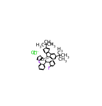 CC(C)(C)c1ccc2c(c1)-c1cc(C(C)(C)C)ccc1[CH]2[Zr+2]([C]1=CC=CC1)=[C](c1ccccc1I)c1ccccc1I.[Cl-].[Cl-]